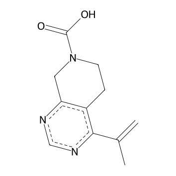 C=C(C)c1ncnc2c1CCN(C(=O)O)C2